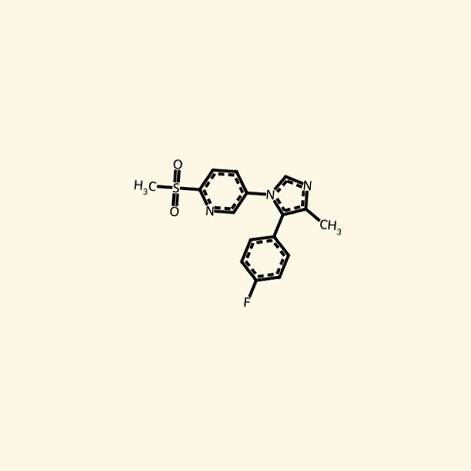 Cc1ncn(-c2ccc(S(C)(=O)=O)nc2)c1-c1ccc(F)cc1